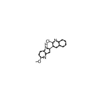 COc1ccc2[nH]c(-c3cc4ccccc4nc3Cl)cc2n1